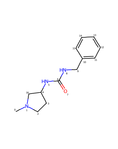 CN1CCC(NC(=O)NCc2ccccc2)C1